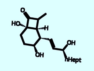 CCCCCCC[C@H](O)/C=C/[C@@H]1[C@@H](O)CC[C@@]2(O)C(=O)C(C)[C@@H]12